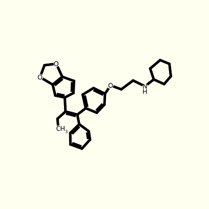 CCC(=C(c1ccccc1)c1ccc(OCCNC2CCCCC2)cc1)c1ccc2c(c1)OCO2